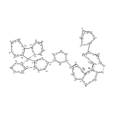 c1ccc(-c2nc3ccc4ccc5ccc(-c6cccc(-c7ccc8c(c7)C7(c9ccccc9-c9ccccc97)c7ccccc7-8)c6)cc5c4c3o2)cc1